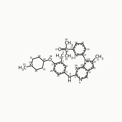 Cc1cc(Nc2ncc3cc(C)n(-c4cccc(P(C)(C)=O)n4)c3n2)ccc1OC1CCN(C)CC1